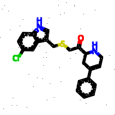 O=C(CSCc1c[nH]c2ccc(Cl)cc12)C1CC(c2ccccc2)=CCN1